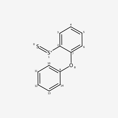 S=[S+]c1ccccc1Oc1ccccc1